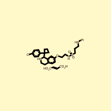 CC(C)NCCCS(=O)(=O)NCCOc1ccc2c(c1)C(C1(c3ccc(Cl)cc3)CCC1)NCC2.O=C(O)C=CC(=O)O